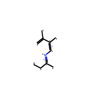 C=C(C)/C(C)=C\N=C(/C)CC